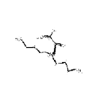 CCCCN(CCCC)C(=O)C(=O)O